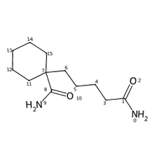 NC(=O)CCCCC1(C(N)=O)CCCCC1